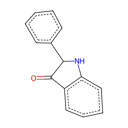 O=C1c2ccccc2NC1c1ccccc1